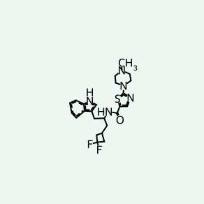 CN1CCN(c2ncc(C(=O)NC(Cc3c[nH]c4ccccc34)CC3CC(F)(F)C3)s2)CC1